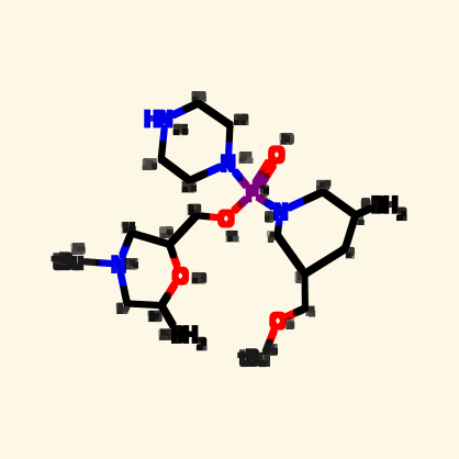 BC1CC(COC(C)(C)C)CN(P(=O)(OCC2CN(C(C)(C)C)CC(B)O2)N2CCNCC2)C1